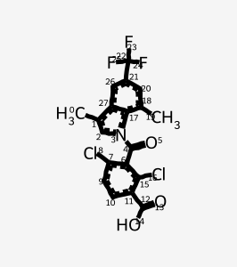 Cc1cn(C(=O)c2c(Cl)ccc(C(=O)O)c2Cl)c2c(C)cc(C(F)(F)F)cc12